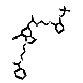 CC(Cc1cc(C#N)c2c(ccn2CCCOC(=O)c2ccccc2)c1)NCCOc1ccccc1OCC(F)(F)F